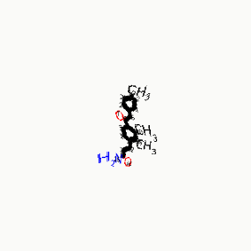 Cc1ccc(CC(=O)c2ccc(C=CC(N)=O)c(C)c2C)cc1